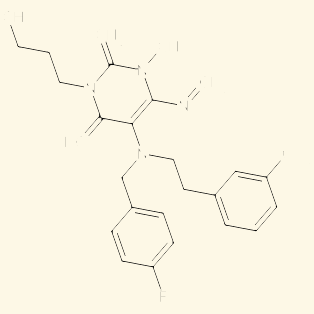 C=NC1=C(N(CCc2cccc(C)c2)Cc2ccc(F)cc2)C(=C)N(CCCC)C(=C)N1C